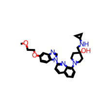 COCCOc1ccc2c(c1)ncn2-c1ccc2cccc(N3CCC(O)(CNC4CC4)CC3)c2n1